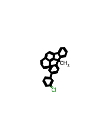 CC1(c2ccc(-c3cccc(Cl)c3)cc2)c2ccccc2-c2ccc3ccccc3c21